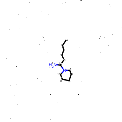 CCCCCC(N)N1CCCCC1